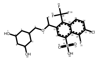 CC(OCC1CC(O)CC(O)C1)c1cc(S(=O)(=O)O)c2c(F)c(Cl)ccc2c1C(F)(F)F